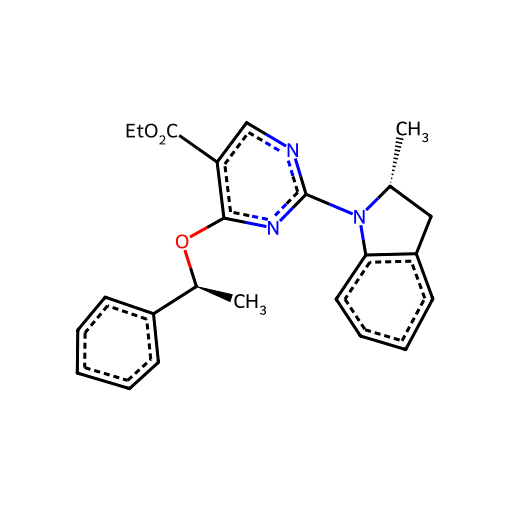 CCOC(=O)c1cnc(N2c3ccccc3C[C@H]2C)nc1O[C@@H](C)c1ccccc1